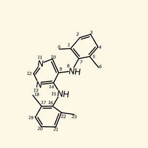 Cc1cccc(C)c1Nc1cncnc1Nc1c(C)cccc1C